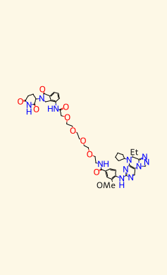 CC[C@@H]1c2nncn2-c2cnc(Nc3ccc(C(=O)NCCOCCOCCOCCOCC(=O)Nc4cccc5c4CN(C4CCC(=O)NC4=O)C5=O)cc3OC)nc2N1C1CCCC1